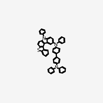 c1ccc(N(c2ccccc2)c2ccc(-c3ccc(N(c4ccccc4)c4ccc5c(c4)c4c6c(ccc4n5-c4ccccc4)sc4ccccc46)cc3)cc2)cc1